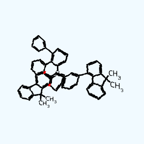 CC1(C)c2ccccc2-c2ccc(N(c3cccc(-c4cccc5c4-c4ccccc4C5(C)C)c3)c3cccc(-c4ccccc4)c3-c3ccccc3-c3ccccc3)cc21